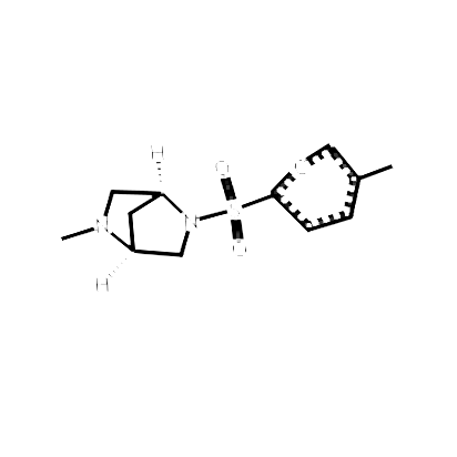 Cc1ccc(S(=O)(=O)N2C[C@@H]3C[C@H]2CN3C)cc1